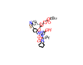 Cc1ncsc1-c1ccc(CNC(=O)[C@@H]2C[C@@H](O)CN2C(=O)[C@H](C(C)C)N2Cc3ccccc3C2=O)c(OCCOCCOCC(=O)OC(C)(C)C)c1